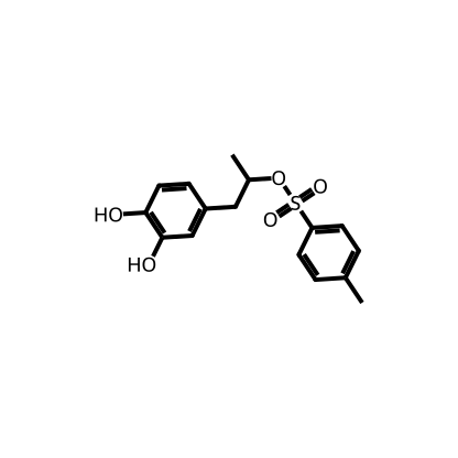 Cc1ccc(S(=O)(=O)OC(C)Cc2ccc(O)c(O)c2)cc1